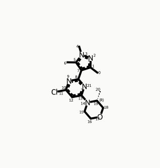 Cc1nn(C)c(C)c1-c1nc(Cl)cc(N2CCOC[C@H]2C)n1